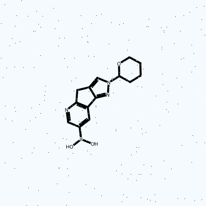 OB(O)c1cnc2c(c1)-c1nn(C3CCCCO3)cc1C2